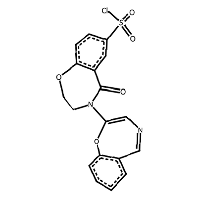 O=C1c2cc(S(=O)(=O)Cl)ccc2OCCN1C1=CN=Cc2ccccc2O1